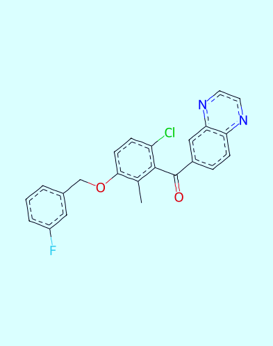 Cc1c(OCc2cccc(F)c2)ccc(Cl)c1C(=O)c1ccc2nccnc2c1